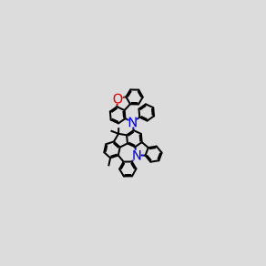 Cc1ccc2c3c1-c1ccccc1-n1c4ccccc4c4cc(N(c5ccccc5)c5cccc6oc7ccccc7c56)c(c-3c41)C2(C)C